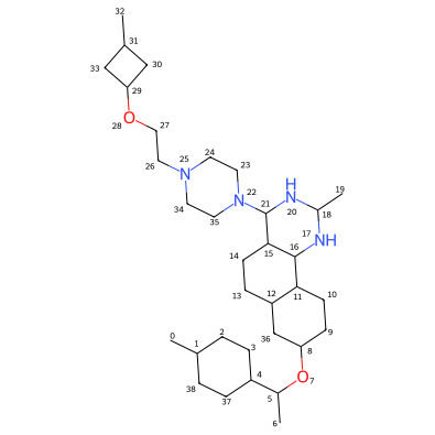 CC1CCC(C(C)OC2CCC3C(CCC4C3NC(C)NC4N3CCN(CCOC4CC(C)C4)CC3)C2)CC1